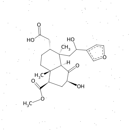 COC(=O)[C@@H]1C[C@H](O)C(=O)[C@@H]2[C@](C)(CC(O)c3ccoc3)[C@@H](CC(=O)O)CC[C@]21C